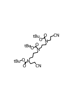 CC(C)(C)OC(=O)N(CCC#N)CCCCN(CCCN(CCC#N)C(=O)OC(C)(C)C)C(=O)OC(C)(C)C